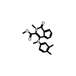 COC(=O)c1c(N(C)c2ccc(C)c(C)c2)c2ccccc2c(=O)n1C